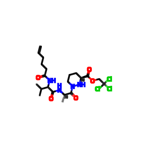 C=CCCCC(=O)NC(C(=O)N[C@@H](C)C(=O)N1CCC[C@@H](C(=O)OCC(Cl)(Cl)Cl)N1)C(C)C